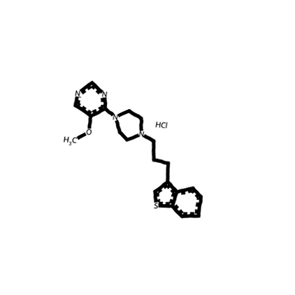 COc1cncnc1N1CCN(CCCc2csc3ccccc23)CC1.Cl